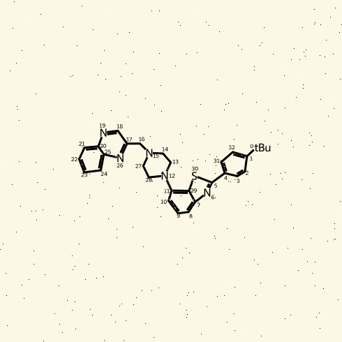 CC(C)(C)c1ccc(-c2nc3cccc(N4CCN(Cc5cnc6ccccc6n5)CC4)c3s2)cc1